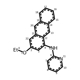 CCOc1cc(Nc2ccccn2)c2cc3ccccc3cc2c1